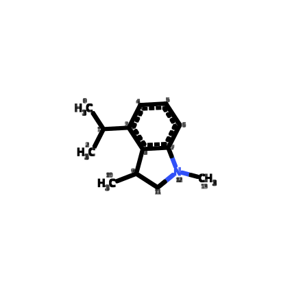 CC(C)c1cccc2c1C(C)CN2C